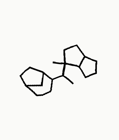 CC(C1CCC2CCC1C2)C1(C)CCC2CCCC21